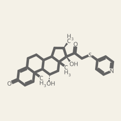 C[C@@H]1CC2C3CCC4=CC(=O)C=CC4(C)C3[C@@H](O)CC2(C)[C@@]1(O)C(=O)CSc1ccncc1